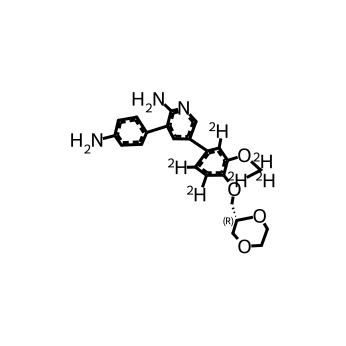 [2H]c1c([2H])c(-c2cnc(N)c(-c3ccc(N)cc3)c2)c([2H])c(OC([2H])([2H])[2H])c1OC[C@H]1COCCO1